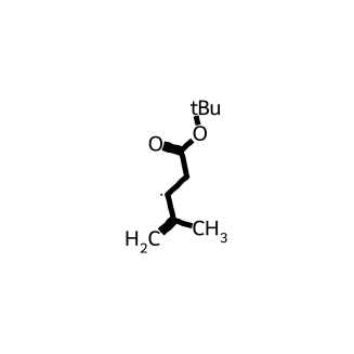 C=C(C)[CH]CC(=O)OC(C)(C)C